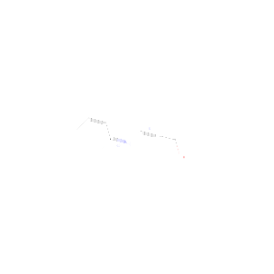 C\C=C/C(F)=N\C=B\C(O)O